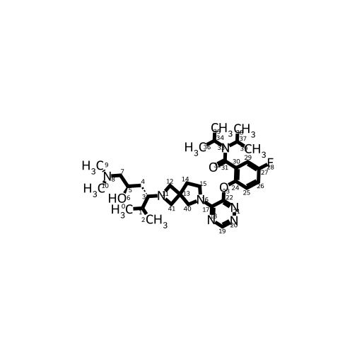 CC(C)[C@H](C[C@@H](O)CN(C)C)N1CC2(CCN(c3ncnnc3Oc3ccc(F)cc3C(=O)N(C(C)C)C(C)C)C2)C1